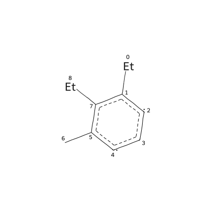 CCc1[c]c[c]c(C)c1CC